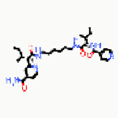 CCC(C)[C@H](NC(=O)c1ccncc1)C(=O)NCCCCCCNC(=O)[C@H](c1cc(C(N)=O)ccn1)C(C)CC